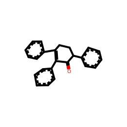 O=C1C(c2ccccc2)=C(c2ccccc2)CCC1c1ccccc1